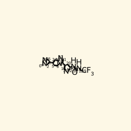 Cn1cc(-c2ccn3c(-c4cncc(NC(=O)NCC(F)(F)F)c4)cnc3c2)cn1